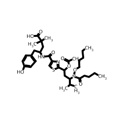 CCCCCON(C(=O)CCCC)C(CC(OC(C)=O)c1nc(C(=O)NC(Cc2ccc(O)cc2)CC(C)(C)C(=O)O)cs1)C(C)C